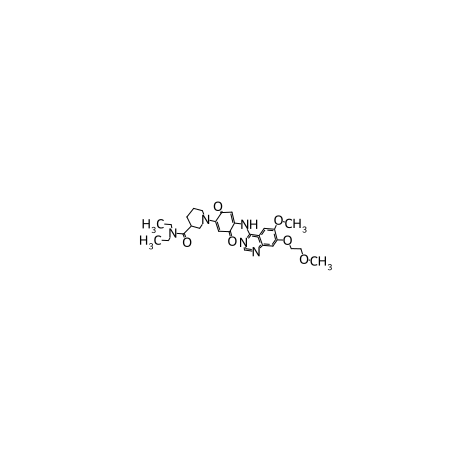 CCN(CC)C(=O)C1CCCN(C2=CC(=O)C(Nc3ncnc4cc(OCCOC)c(OC)cc34)=CC2=O)C1